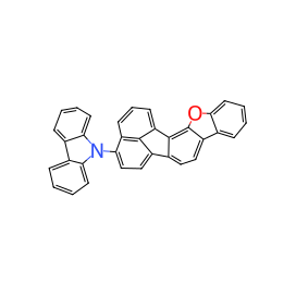 c1ccc2c(c1)oc1c3c(ccc12)-c1ccc(-n2c4ccccc4c4ccccc42)c2cccc-3c12